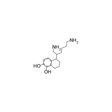 NCCCCC(CN)C1CCCc2c1ccc(O)c2O